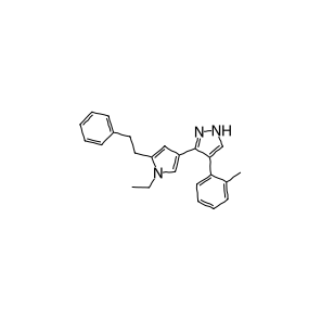 CCn1cc(-c2n[nH]cc2-c2ccccc2C)cc1CCc1ccccc1